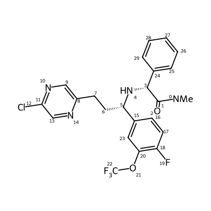 CNC(=O)[C@H](N[C@@H](CCc1cnc(Cl)cn1)c1ccc(F)c(OC(F)(F)F)c1)c1ccccc1